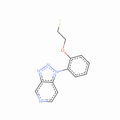 FCCOc1ccccc1-n1nnc2cnccc21